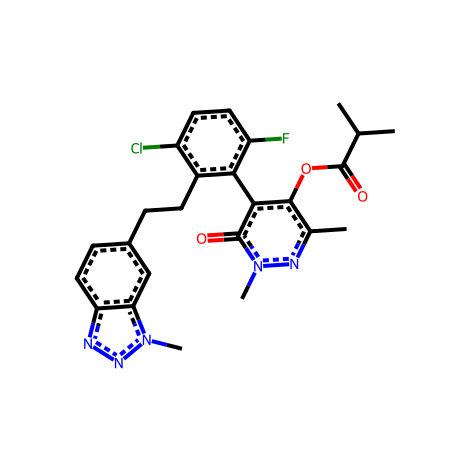 Cc1nn(C)c(=O)c(-c2c(F)ccc(Cl)c2CCc2ccc3nnn(C)c3c2)c1OC(=O)C(C)C